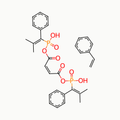 C=Cc1ccccc1.CC(C)=C(c1ccccc1)P(=O)(O)OC(=O)/C=C\C(=O)OP(=O)(O)C(=C(C)C)c1ccccc1